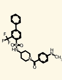 CNc1ccc(C(=O)N2CCC(NS(=O)(=O)c3ccc(-c4ccccc4)cc3C(F)(F)F)CC2)cc1